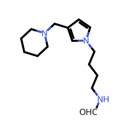 O=CNCCCCn1ccc(CN2CCCCC2)c1